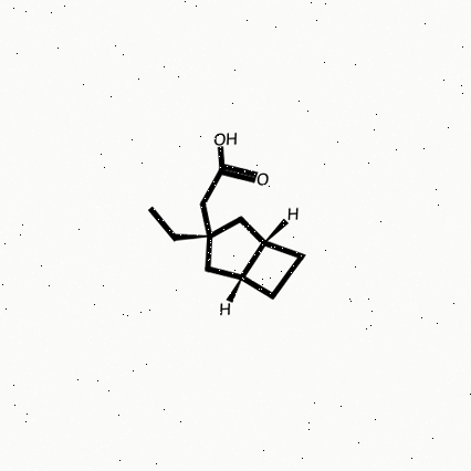 CC[C@]1(CC(=O)O)C[C@H]2CC[C@H]2C1